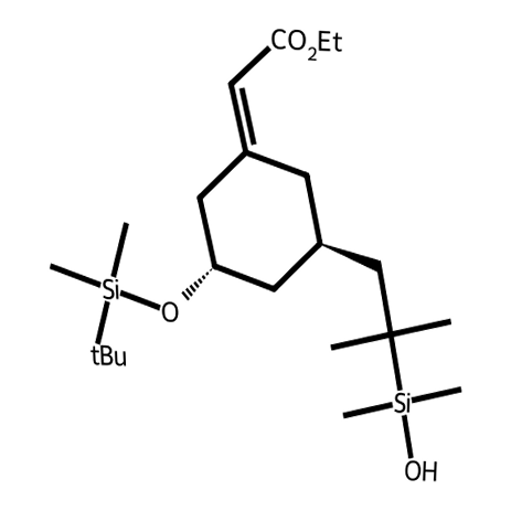 CCOC(=O)/C=C1\C[C@@H](CC(C)(C)[Si](C)(C)O)C[C@H](O[Si](C)(C)C(C)(C)C)C1